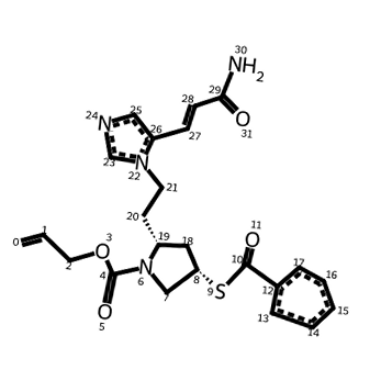 C=CCOC(=O)N1C[C@@H](SC(=O)c2ccccc2)C[C@H]1CCn1cncc1C=CC(N)=O